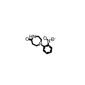 O=C1CCN(c2ccccc2[N+](=O)[O-])CCN1